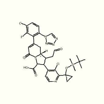 CC(C)(C)[Si](C)(C)OC1(c2nccc(C3C(CC=O)[C@H]4CC(c5c(-n6cnnn6)ccc(Cl)c5F)=CC(=O)N4C3C(=O)O)c2Cl)CC1